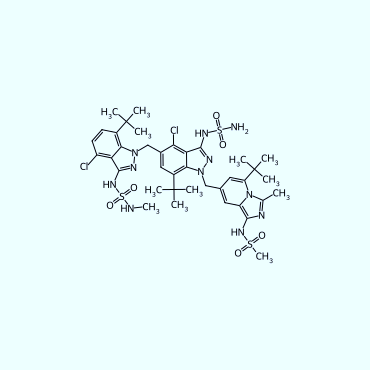 CNS(=O)(=O)Nc1nn(Cc2cc(C(C)(C)C)c3c(c(NS(N)(=O)=O)nn3Cc3cc(C(C)(C)C)n4c(C)nc(NS(C)(=O)=O)c4c3)c2Cl)c2c(C(C)(C)C)ccc(Cl)c12